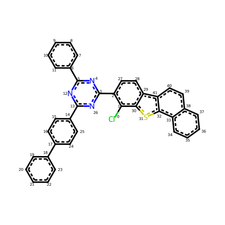 Clc1c(-c2nc(-c3ccccc3)nc(-c3ccc(-c4ccccc4)cc3)n2)ccc2c1sc1c3ccccc3ccc21